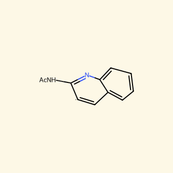 CC(=O)Nc1[c]cc2ccccc2n1